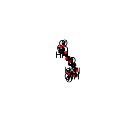 COC(=O)C[C@H](C(=O)N1CCC[C@H]1c1ncc(-c2ccc3c(c2)COc2c-3ccc3cc(-c4cnc([C@@H]5CCCN5C(=O)[C@@H](NC(=O)OC)[C@@H](C)OC)[nH]4)ccc23)[nH]1)[C@@H](C)OC